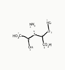 N.O=NOC(SC(O)C(=O)O)C(=O)O